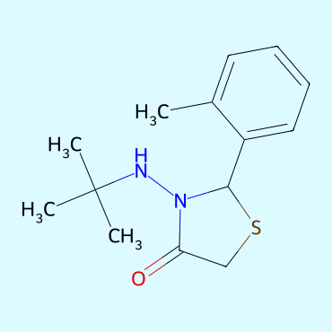 Cc1ccccc1C1SCC(=O)N1NC(C)(C)C